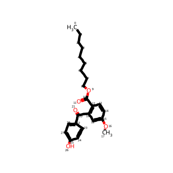 CCCCCCCCCOC(=O)c1ccc(OC)cc1C(=O)c1ccc(O)cc1